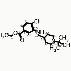 CCOC(=O)c1ccc(Cl)c(NCC2CCN(C(C)(C)C)CC2)c1